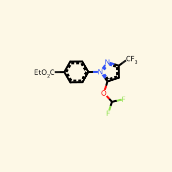 CCOC(=O)c1ccc(-n2nc(C(F)(F)F)cc2OC(F)F)cc1